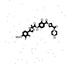 COc1ccc(C2=NC(C)(C(=O)Nc3ccc(C(=O)N4CC(C(=O)N5CCNCC5)C4)c(Cl)c3)N=C2)c(F)c1F